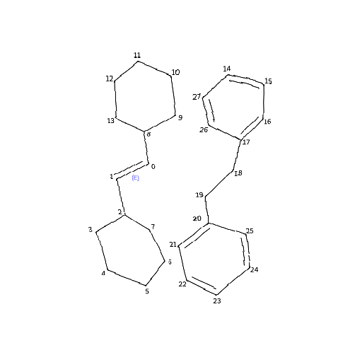 C(=C\C1CCCCC1)/C1CCCCC1.c1ccc(CCc2ccccc2)cc1